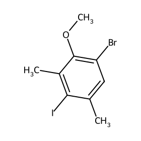 COc1c(Br)cc(C)c(I)c1C